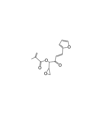 C=C(C)C(=O)OC(C(=O)C=Cc1ccco1)C1CO1